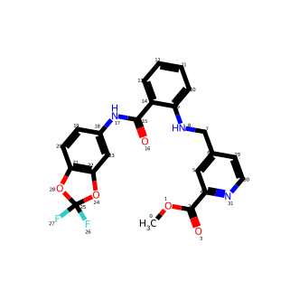 COC(=O)c1cc(CNc2ccccc2C(=O)Nc2ccc3c(c2)OC(F)(F)O3)ccn1